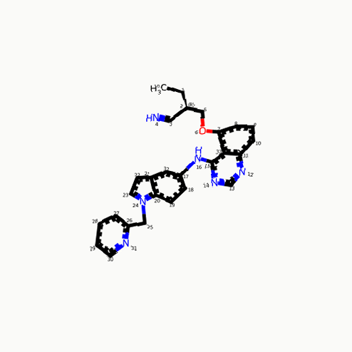 CC[C@H](C=N)COc1cccc2ncnc(Nc3ccc4c(ccn4Cc4ccccn4)c3)c12